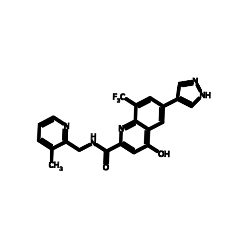 Cc1cccnc1CNC(=O)c1cc(O)c2cc(-c3cn[nH]c3)cc(C(F)(F)F)c2n1